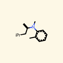 C=C(CC(C)C)N(C)c1ccccc1C